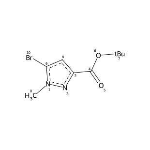 Cn1nc(C(=O)OC(C)(C)C)cc1Br